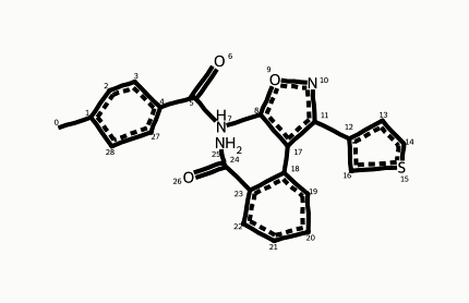 Cc1ccc(C(=O)Nc2onc(-c3ccsc3)c2-c2ccccc2C(N)=O)cc1